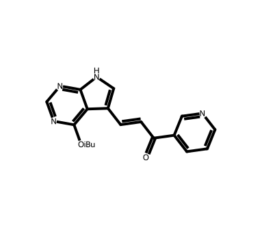 CC(C)COc1ncnc2[nH]cc(C=CC(=O)c3cccnc3)c12